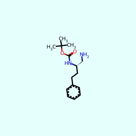 CC(C)(C)OC(=O)N[C@H](CN)CCc1ccccc1